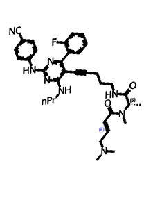 CCCNc1nc(Nc2ccc(C#N)cc2)nc(-c2ccccc2F)c1C#CCCCNC(=O)[C@H](C)N(C)C(=O)/C=C/CN(C)C